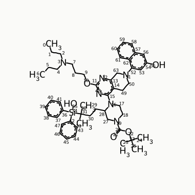 CCCN(CCC)CCCOc1nc2c(c(N3CCN(C(=O)OC(C)(C)C)CC3CCC(C)(C)[Si](O)(c3ccccc3)c3ccccc3)n1)CCN(c1cc(O)cc3ccccc13)C2